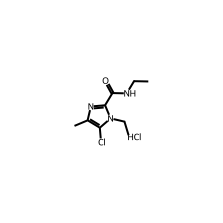 CCNC(=O)c1nc(C)c(Cl)n1CC.Cl